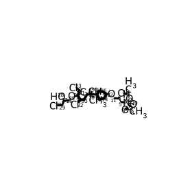 CC(=O)O[C@@H](CNS(C)(=O)=O)COc1ccc(C(C)(C)c2cc(Cl)c(OC[C@H](O)CCl)c(Cl)c2)cc1